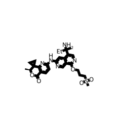 CCC(C)(N)c1cnc(OCCCS(C)(=O)=O)c2cnc(Nc3ccc4c(n3)C3(CC3)[C@H](C)OC4=O)cc12